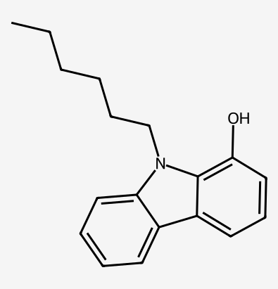 CCCCCCn1c2ccccc2c2cccc(O)c21